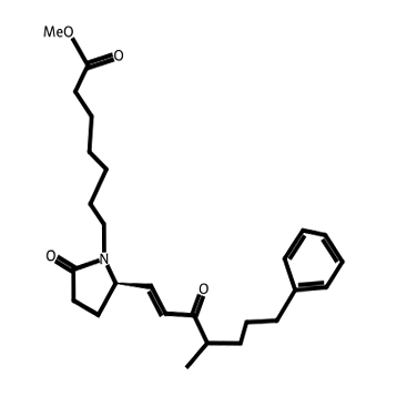 COC(=O)CCCCCCN1C(=O)CC[C@@H]1/C=C/C(=O)C(C)CCCc1ccccc1